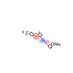 COc1cccc(CC(=O)N/N=C/c2ccc(C)cc2OS(=O)(=O)c2ccc(C(F)(F)F)cc2)c1